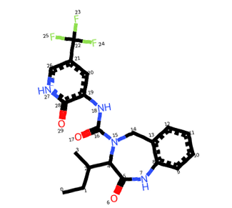 CCC(C)C1C(=O)Nc2ccccc2CN1C(=O)Nc1cc(C(F)(F)F)c[nH]c1=O